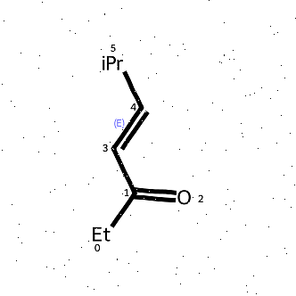 CCC(=O)/C=C/C(C)C